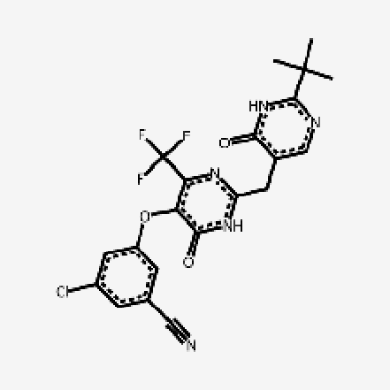 CC(C)(C)c1ncc(Cc2nc(C(F)(F)F)c(Oc3cc(Cl)cc(C#N)c3)c(=O)[nH]2)c(=O)[nH]1